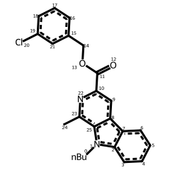 CCCCn1c2ccccc2c2cc(C(=O)OCc3cccc(Cl)c3)nc(C)c21